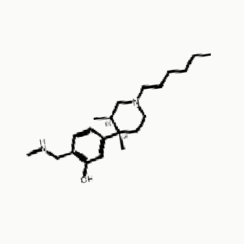 CCCCCCN1CC[C@](C)(c2ccc(CNC)c(O)c2)[C@@H](C)C1